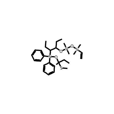 C=C[Si](C)(C)O[Si](C)(C)OC(CC)C(CC)[Si](OC(C)(CC)SC)(c1ccccc1)c1ccccc1